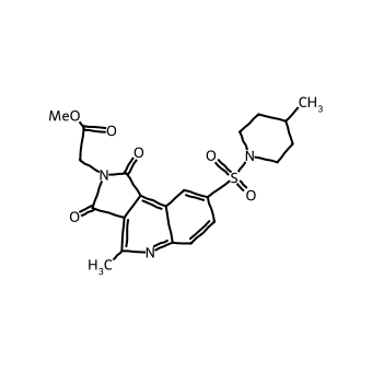 COC(=O)CN1C(=O)c2c(C)nc3ccc(S(=O)(=O)N4CCC(C)CC4)cc3c2C1=O